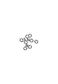 c1ccc(-c2ccc(N(c3cccc4ccccc34)c3cc(-n4c5ccccc5c5ccccc54)cc4c3sc3ccccc34)cc2)cc1